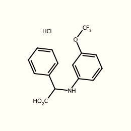 Cl.O=C(O)C(Nc1cccc(OC(F)(F)F)c1)c1ccccc1